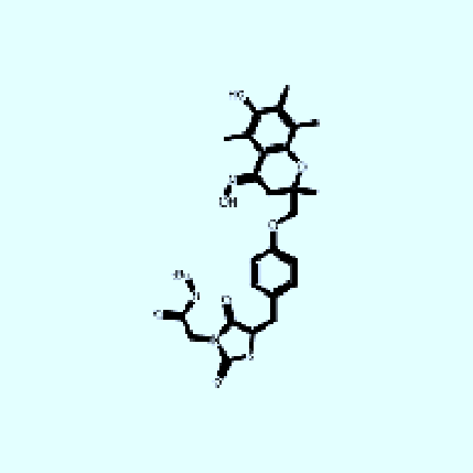 Cc1c(C)c2c(c(C)c1O)C(=NO)CC(C)(COc1ccc(CC3SC(=O)N(CC(=O)OC(C)(C)C)C3=O)cc1)O2